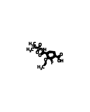 CCOc1c(C(=O)NS(=O)(=O)N(C)C)ccc(C(=O)O)c1F